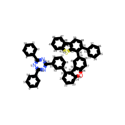 c1ccc(-c2nc(-c3ccccc3)nc(-c3cccc(-c4cccc5oc6ccc(-c7c(-c8ccccc8)ccc8c7sc7ccccc78)cc6c45)c3)n2)cc1